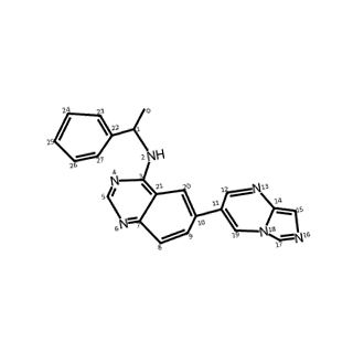 CC(Nc1ncnc2ccc(-c3cnc4cncn4c3)cc12)c1ccccc1